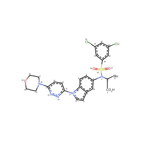 CC(C)(C)C(C(=O)O)N(c1ccc2c(ccn2-c2ccc(N3CCOCC3)nn2)c1)S(=O)(=O)c1cc(Cl)cc(Cl)c1